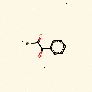 CC(C)C(=O)C(=O)c1ccccc1